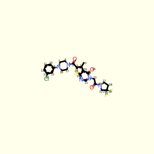 Cc1c(C(=O)N2CCN(c3cccc(Cl)c3)CC2)sc2ncn(CC(=O)N3CCC(F)(F)C3)c(=O)c12